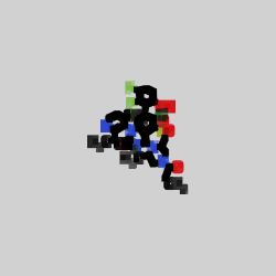 C=CC(=O)N1CC(C)N2c3nc(=O)n(-c4c(C)ccnc4C(C)C)c4c(F)c(-c5c(O)ccc(F)c5F)c(Cl)c(c34)S(=O)(=O)CC2C1